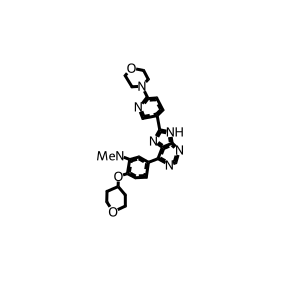 CNc1cc(-c2ncnc3[nH]c(-c4ccc(N5CCOCC5)nc4)nc23)ccc1OC1CCOCC1